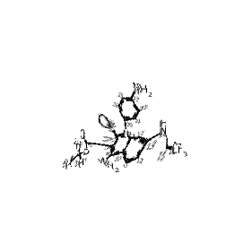 [2H]C([2H])([2H])OC(=O)c1c(N)c2ccc(NCC(F)(F)F)cc2n(-c2ccc(N)cc2)c1=O